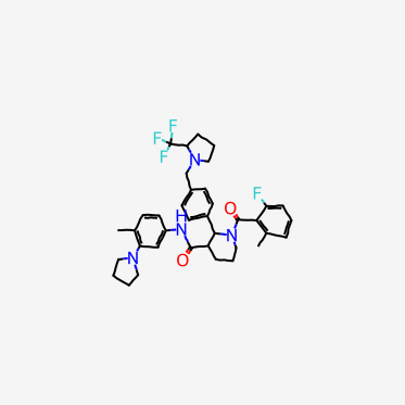 Cc1ccc(NC(=O)C2CCCN(C(=O)c3c(C)cccc3F)C2c2ccc(CN3CCCC3C(F)(F)F)cc2)cc1N1CCCC1